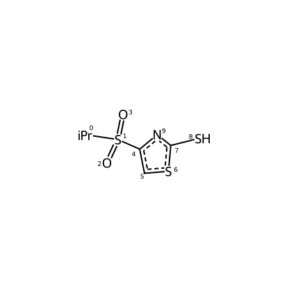 CC(C)S(=O)(=O)c1csc(S)n1